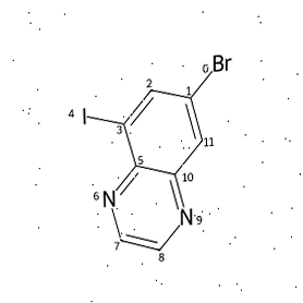 Brc1cc(I)c2nccnc2c1